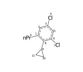 CCCc1cc(Cl)[c]c(Cl)c1C1CC1